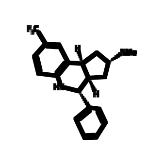 CN[C@@H]1C[C@@H]2[C@H](C1)c1cc(C(F)(F)F)ccc1N[C@H]2c1ccccc1